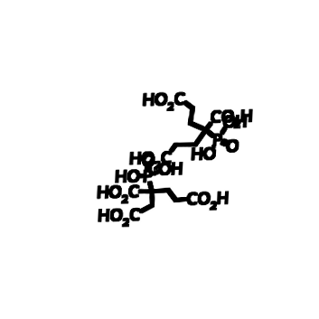 O=C(O)CCC(CC(=O)O)(C(=O)O)P(=O)(O)O.O=C(O)CCC(CCC(=O)O)(C(=O)O)P(=O)(O)O